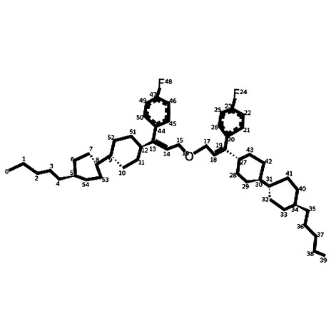 CCCCC[C@H]1CC[C@H]([C@H]2CC[C@H](C(=CCOCC=C(c3ccc(F)cc3)[C@H]3CC[C@H]([C@H]4CC[C@H](CCCCC)CC4)CC3)c3ccc(F)cc3)CC2)CC1